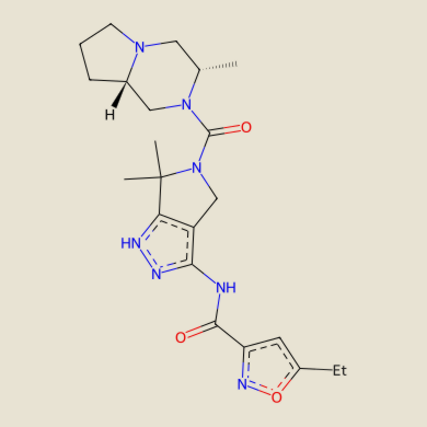 CCc1cc(C(=O)Nc2n[nH]c3c2CN(C(=O)N2C[C@@H]4CCCN4C[C@@H]2C)C3(C)C)no1